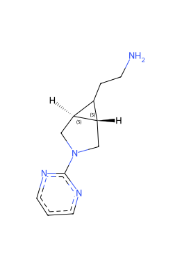 NCCC1[C@@H]2CN(c3ncccn3)C[C@@H]12